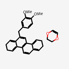 C1=COCCO1.COc1ccc(Cc2cc3c4c(ccc3c3c2=CCCC=3)=CCCC=4)cc1OC